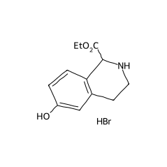 Br.CCOC(=O)C1NCCc2cc(O)ccc21